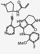 C=CC(=O)N[C@]1(C#Cc2cnccc2-c2[nH]c3c(c2Nc2cccc(F)c2OC)C(=O)NCC3)CCN(C)C1